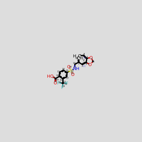 C=C(/C=C1/OCO/C1=C/C)CNS(=O)(=O)c1ccc(C(=O)O)c(C(F)(F)F)c1